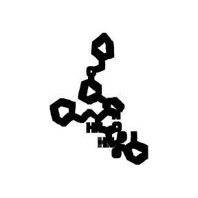 Cc1ccccc1S(=O)(=O)NC(=O)N[C@@H](CCc1ccccc1)c1nccn1-c1cccc(OCc2ccccc2)c1